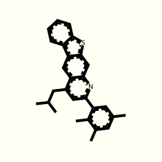 Cc1cc(C)c(C)c(-c2cc(CC(C)C)c3cc4c(cc3n2)sc2ccccc24)c1